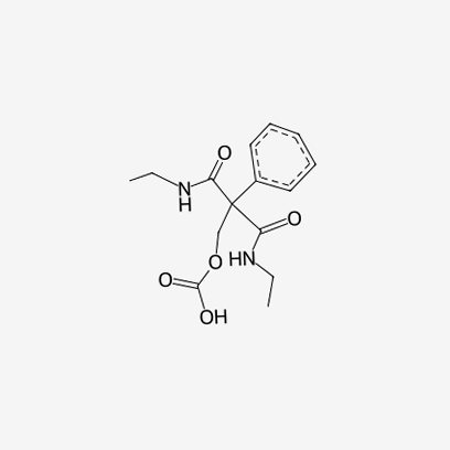 CCNC(=O)C(COC(=O)O)(C(=O)NCC)c1ccccc1